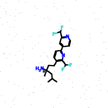 CC(C)C[C@](C)(N)CCc1ccc(-c2ccnc(C(F)F)c2)nc1C(F)F